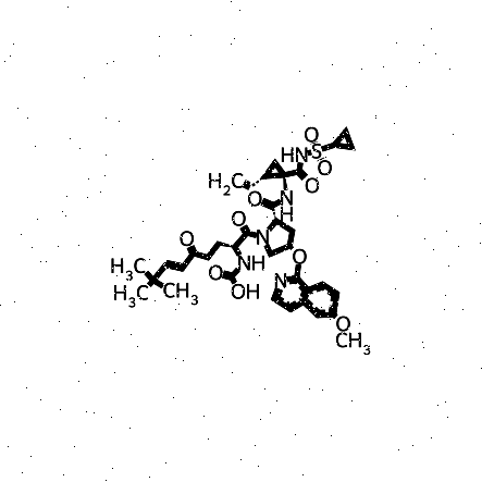 C=C[C@@H]1C[C@]1(NC(=O)[C@@H]1C[C@@H](Oc2nccc3cc(OC)ccc23)CN1C(=O)[C@H](CCC(=O)C=CC(C)(C)C)NC(=O)O)C(=O)NS(=O)(=O)C1CC1